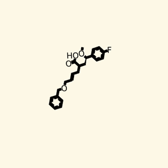 CO[C@H](CC(C/C=C/COCc1ccccc1)C(=O)O)c1ccc(F)cc1